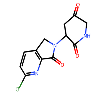 O=C1CNC(=O)C(N2Cc3ccc(Cl)nc3C2=O)C1